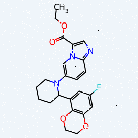 CCOC(=O)c1cnc2ccc(N3CCCCC3c3cc(F)cc4c3OCCO4)cn12